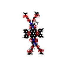 C=C(C)C(=O)OCCOCCN(CCOCCOC(=O)C(=C)C)C(=C)C(CC(C)C)N1C(=O)c2cc(Oc3ccc(C)cc3)c3c4c(Oc5ccc(C)cc5)cc5c6c(cc(Oc7ccc(C)cc7)c(c7c(Oc8ccc(C)cc8)cc(c2c37)C1=O)c64)C(=O)N(C(CC(C)C)C(=O)N(CCOCCOC(=O)C(=C)C)CCOCCOC(=O)C(=C)C)C5=O